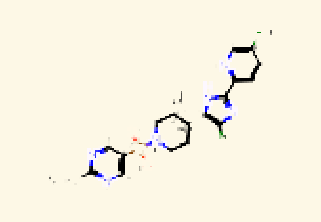 COc1ncc(S(=O)(=O)N2CC[C@@H](c3[nH]c(-c4ccc(F)cn4)nc3Cl)[C@@H](C)C2)cn1